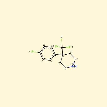 Fc1ccc(C2(C(F)(F)F)CCNCC2)cc1